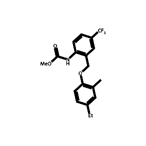 CCc1ccc(OCc2cc(C(F)(F)F)ccc2NC(=O)OC)c(C)c1